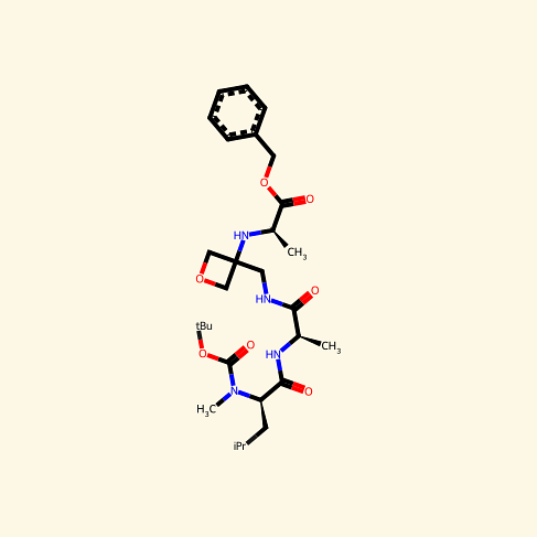 CC(C)C[C@H](C(=O)N[C@H](C)C(=O)NCC1(N[C@H](C)C(=O)OCc2ccccc2)COC1)N(C)C(=O)OC(C)(C)C